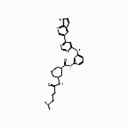 CN(C)CCCC(=O)NC1CCCC(C(=O)Nc2cccc(Nc3cc(-c4cnc5[nH]ccc5c4)ncn3)c2)C1